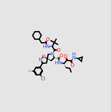 CCC[C@H](NC(=O)[C@@H]1C[C@]2(CC(c3cc(F)cc(Cl)c3)=NO2)CN1C(=O)[C@@H](NC(=O)CC1CCCCC1)C(C)(C)C)C(=O)C(=O)NC1CC1